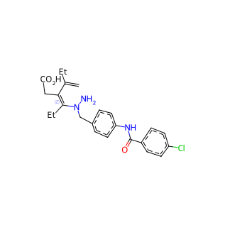 C=C(CC)/C(CC(=O)O)=C(/CC)N(N)Cc1ccc(NC(=O)c2ccc(Cl)cc2)cc1